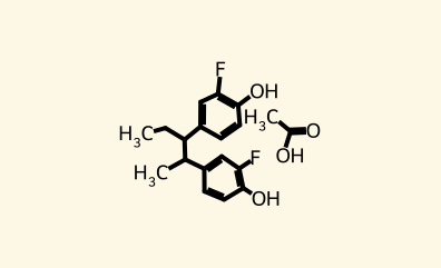 CC(=O)O.CCC(c1ccc(O)c(F)c1)C(C)c1ccc(O)c(F)c1